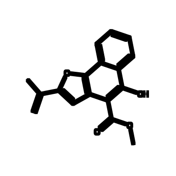 C=C(C)c1cc2c(C(=O)OC)c(O)c3ccccc3c2o1